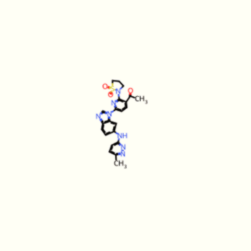 CC(=O)c1ccc(-n2cnc3ccc(Nc4ccc(C)nn4)cc32)nc1N1CCCS1(=O)=O